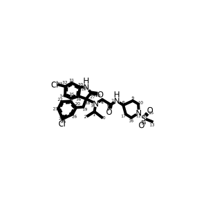 CC(C)N(CC(=O)NC1CCN(S(C)(=O)=O)CC1)C1(Cc2cccc(Cl)c2)C(=O)Nc2cc(Cl)ccc21